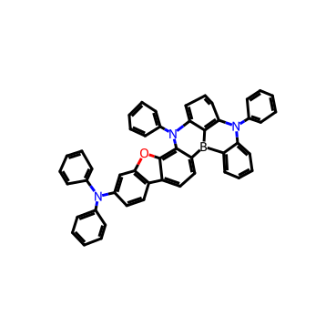 c1ccc(N(c2ccccc2)c2ccc3c(c2)oc2c4c(ccc23)B2c3ccccc3N(c3ccccc3)c3cccc(c32)N4c2ccccc2)cc1